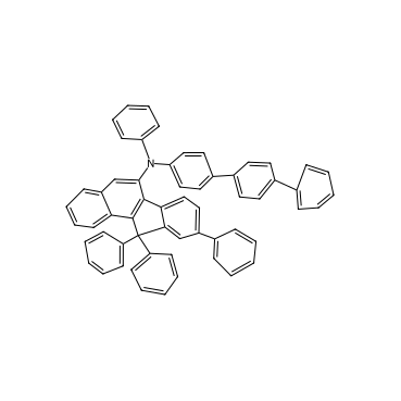 c1ccc(-c2ccc(-c3ccc(N(c4ccccc4)c4cc5ccccc5c5c4-c4ccc(-c6ccccc6)cc4C5(c4ccccc4)c4ccccc4)cc3)cc2)cc1